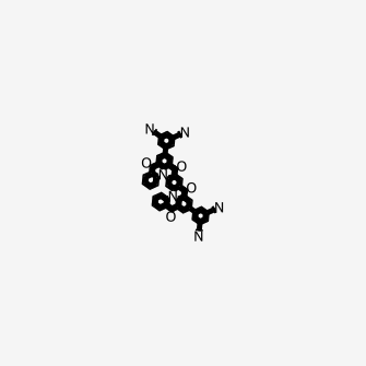 N#Cc1cc(C#N)cc(-c2cc3c(=O)c4ccccc4n4c5cc6c(cc5c(=O)c(c2)c34)c(=O)c2cc(-c3cc(C#N)cc(C#N)c3)cc3c(=O)c4ccccc4n6c32)c1